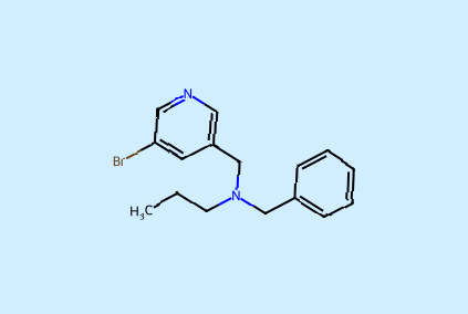 CCCN(Cc1ccccc1)Cc1cncc(Br)c1